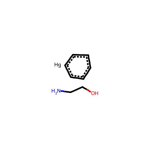 NCCO.[Hg].c1ccccc1